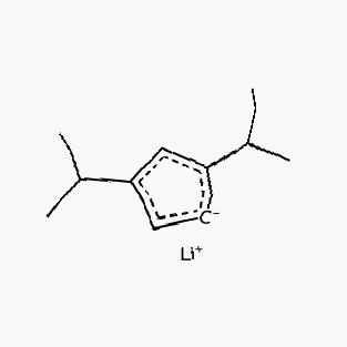 CC(C)c1c[cH-]c(C(C)C)c1.[Li+]